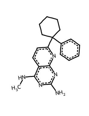 CNc1nc(N)nc2nc(C3(c4ccccc4)CCCCC3)ccc12